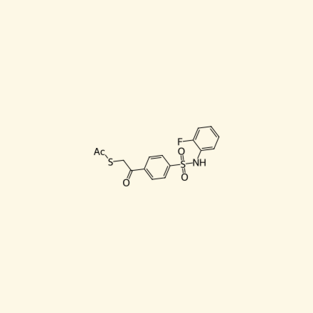 CC(=O)SCC(=O)c1ccc(S(=O)(=O)Nc2ccccc2F)cc1